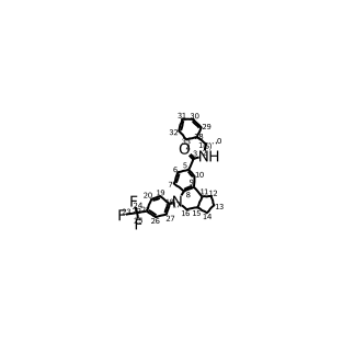 C[C@H](NC(=O)c1ccc2c(c1)C1CCCC1CN2c1ccc(C(F)(F)F)cc1)C1C=CC=CC1